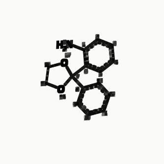 Nc1ccccc1C1(c2ccccc2)OCCO1